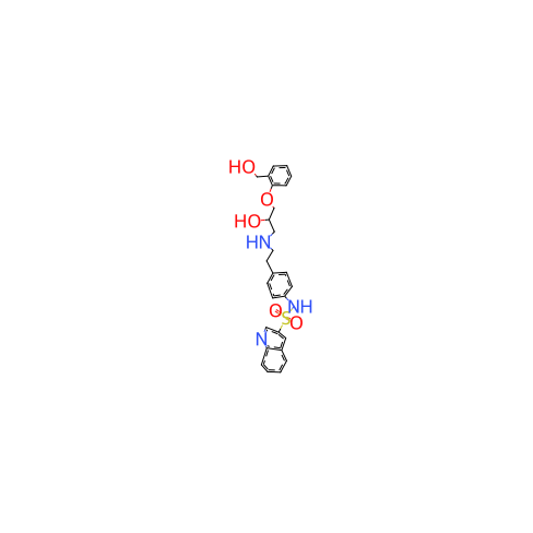 O=S(=O)(Nc1ccc(CCNCC(O)COc2ccccc2CO)cc1)c1cnc2ccccc2c1